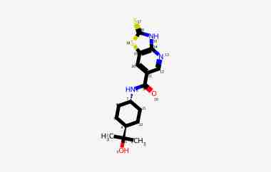 CC(C)(O)[C@H]1CC[C@H](NC(=O)c2cnc3[nH]c(=S)sc3c2)CC1